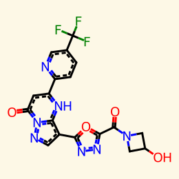 O=C(c1nnc(-c2cnn3c(=O)cc(-c4ccc(C(F)(F)F)cn4)[nH]c23)o1)N1CC(O)C1